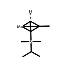 CC(C)[Si](C)(C)[C]12[C@H]3[Mo]1[C]32C